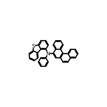 c1ccc(N(c2cc3ccc4ccccc4c3c3ccccc23)c2cccc3sc4ccccc4c23)cc1